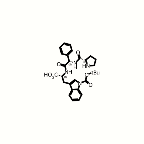 CC(C)(C)OC(=O)n1cc(C[C@@H](NC(=O)[C@@H](NC(=O)[C@@H]2CCCN2)c2ccccc2)C(=O)O)c2ccccc21